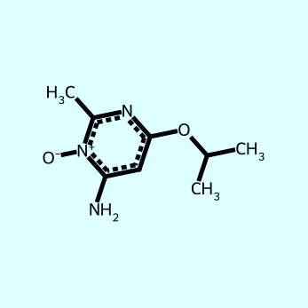 Cc1nc(OC(C)C)cc(N)[n+]1[O-]